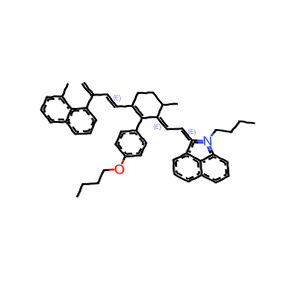 C=C(/C=C/C1=C(c2ccc(OCCCC)cc2)C(=C/C=c2\c3cccc4cccc(c43)n2CCCC)/C(C)CC1)c1cccc2cccc(C)c12